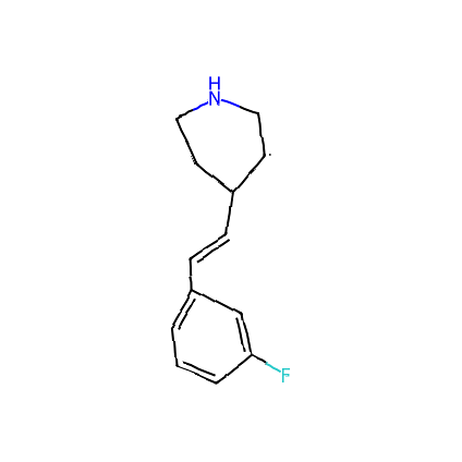 Fc1cccc(C=CC2[CH]CNCC2)c1